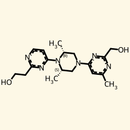 Cc1cc(N2C[C@@H](C)N(c3ccnc(CCO)n3)[C@@H](C)C2)nc(CO)n1